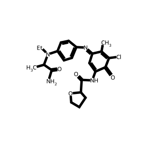 CCN(c1ccc(N=C2C=C(NC(=O)C3CCCO3)C(=O)C(Cl)=C2C)cc1)C(C)C(N)=O